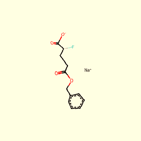 O=C(CC[C@@H](F)C(=O)[O-])OCc1ccccc1.[Na+]